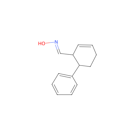 ON=CC1C=CCCC1c1ccccc1